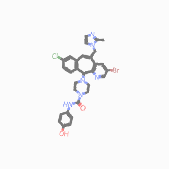 Cc1nccn1CC1=Cc2cc(Cl)ccc2C(N2CCN(C(=O)Nc3ccc(O)cc3)CC2)c2ncc(Br)cc21